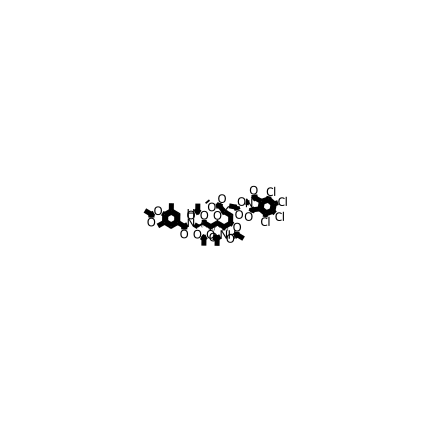 COC(=O)[C@@]1(CC(=O)ON2C(=O)c3c(Cl)c(Cl)c(Cl)c(Cl)c3C2=O)CC(OC(C)=O)[C@@H](NC(C)=O)[C@H]([C@H](OC(C)=O)[C@@H](CNC(=O)c2cc(C)c(OC(C)=O)c(C)c2)OC(C)=O)O1